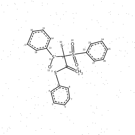 C=C(Sc1ccccc1)C([S])([S+]([O-])c1ccccc1)S(=O)(=O)c1ccccc1